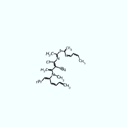 C=C/C=C\C(=C/CCC)N(C)C(=C)/C(=C(Cl)/N=C(\C)SC(=C)/N=C\C=C/C)C(C)CC